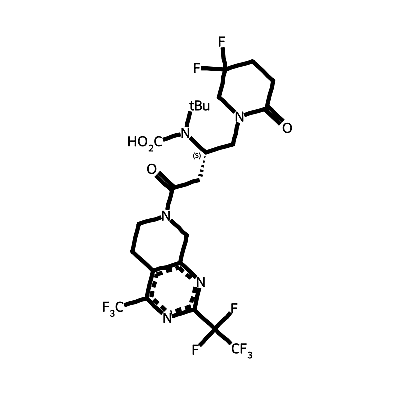 CC(C)(C)N(C(=O)O)[C@@H](CC(=O)N1CCc2c(nc(C(F)(F)C(F)(F)F)nc2C(F)(F)F)C1)CN1CC(F)(F)CCC1=O